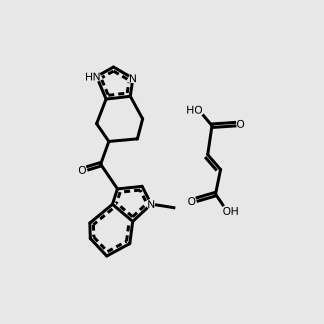 Cn1cc(C(=O)C2CCc3nc[nH]c3C2)c2ccccc21.O=C(O)C=CC(=O)O